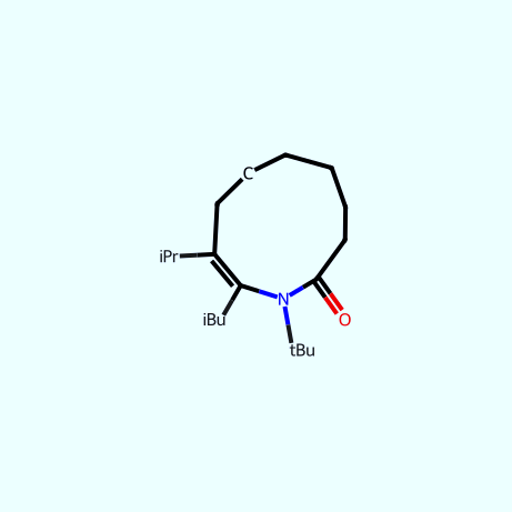 CCC(C)/C1=C(\C(C)C)CCCCCCC(=O)N1C(C)(C)C